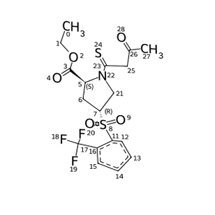 CCOC(=O)[C@@H]1C[C@@H](S(=O)(=O)c2ccccc2C(F)(F)F)CN1C(=S)CC(C)=O